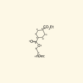 CCCCCCCCCCCCOC(=O)C1CCC(C(=O)OCC)CC1